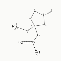 C[C@H]1CC[C@](CN)(CC(=O)O)C1